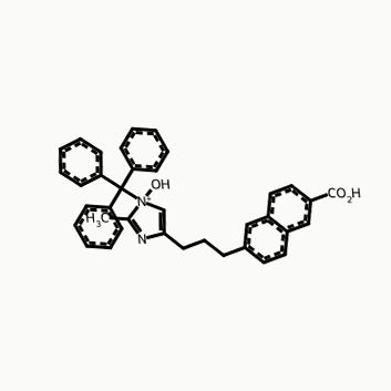 CC1=NC(CCCc2ccc3cc(C(=O)O)ccc3c2)=C[N+]1(O)C(c1ccccc1)(c1ccccc1)c1ccccc1